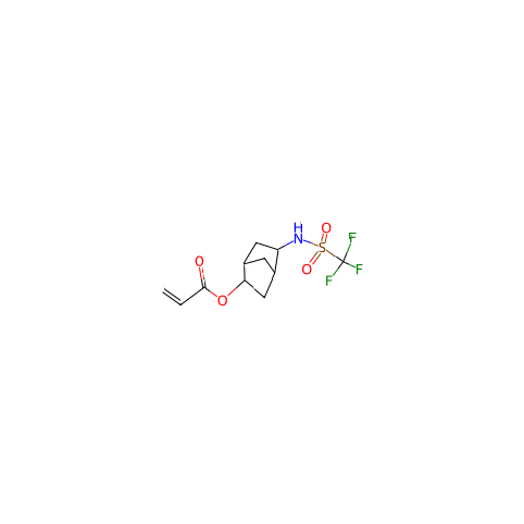 C=CC(=O)OC1CC2CC1CC2NS(=O)(=O)C(F)(F)F